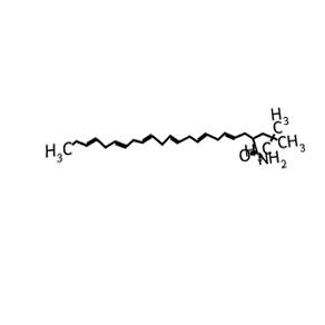 CCC=CCC=CCC=CCC=CCC=CCC=CCC(CC(C)(C)C)C(N)=O